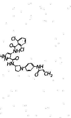 C=CC(=O)Nc1ccc(N2CCC(NC(=O)c3n[nH]cc3NC(=O)c3c(Cl)cccc3Cl)C2)cc1